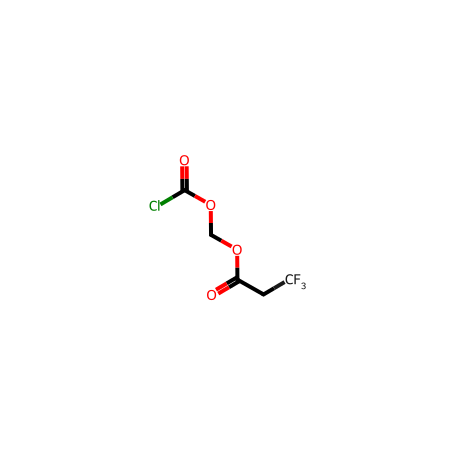 O=C(Cl)OCOC(=O)CC(F)(F)F